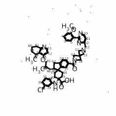 COc1ccccc1-c1nccc(CN2CC3(C2)CN(C(=O)c2ccc4c(c2)C2(CCC(Nc5cccc(Cl)c5)(C(=O)O)CC2)[C@@H](C[C@@H](C)COc2ccnc5c2[C@H](C)CCC5)C4)C3)n1